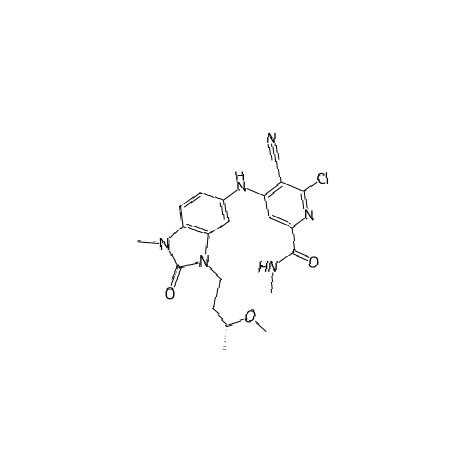 CNC(=O)c1cc(Nc2ccc3c(c2)n(CC[C@@H](C)OC)c(=O)n3C)c(C#N)c(Cl)n1